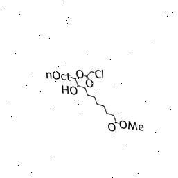 CCCCCCCCC(OC(=O)CCl)C(O)CCCCCCCC(=O)OC